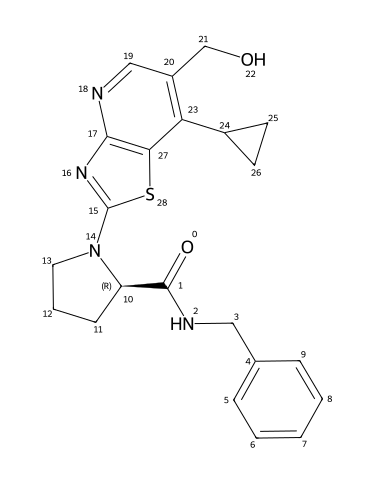 O=C(NCc1ccccc1)[C@H]1CCCN1c1nc2ncc(CO)c(C3CC3)c2s1